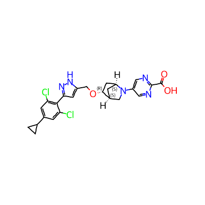 O=C(O)c1ncc(N2C[C@@H]3C[C@H]2C[C@H]3OCc2cc(-c3c(Cl)cc(C4CC4)cc3Cl)n[nH]2)cn1